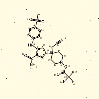 CS(=O)(=O)c1ccc(Nc2nn(C3(CC#N)CCN(OC(=O)C(F)(F)F)CC3)cc2C(N)=O)cc1